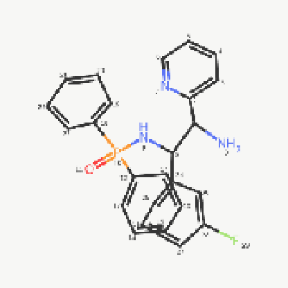 NC(c1ccccn1)C(NP(=O)(c1ccccc1)c1ccccc1)c1cccc(F)c1